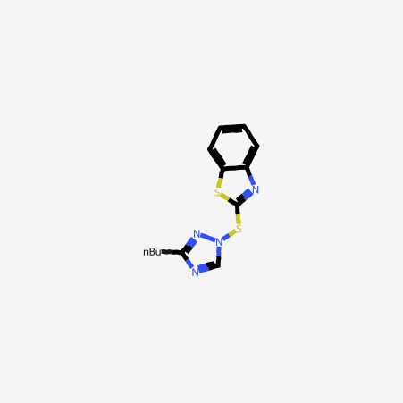 CCCCc1ncn(Sc2nc3ccccc3s2)n1